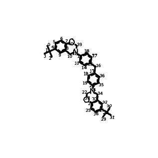 CC(C)(C)c1ccc2c(c1)CN(c1ccc(Cc3ccc(N4COc5ccc(C(C)(C)C)cc5C4)cc3)cc1)CO2